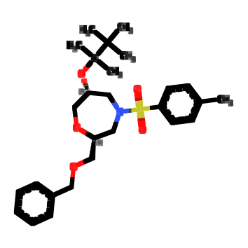 Cc1ccc(S(=O)(=O)N2C[C@@H](COCc3ccccc3)OC[C@H](O[Si](C)(C)C(C)(C)C)C2)cc1